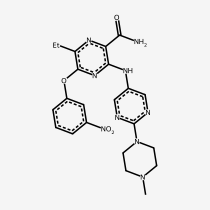 CCc1nc(C(N)=O)c(Nc2cnc(N3CCN(C)CC3)nc2)nc1Oc1cccc([N+](=O)[O-])c1